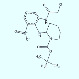 CC(C)(C)OC(=O)N1CCCCC1Nc1c(NC(=O)CCl)cccc1[N+](=O)[O-]